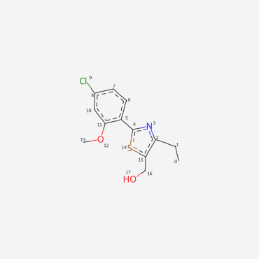 CCc1nc(-c2ccc(Cl)cc2OC)sc1CO